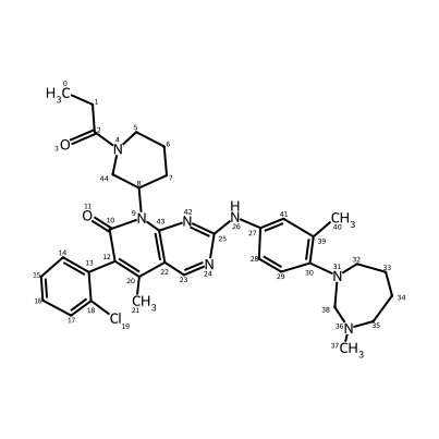 CCC(=O)N1CCCC(n2c(=O)c(-c3ccccc3Cl)c(C)c3cnc(Nc4ccc(N5CCCCN(C)C5)c(C)c4)nc32)C1